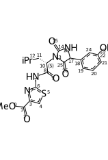 COC(=O)c1csc(NC(=O)[C@H](CC(C)C)N2C(=O)NC(c3cccc(O)c3)C2=O)n1